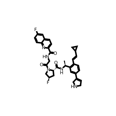 C[C@H](NC(=O)[C@@H]1C[C@@H](F)CN1C(=O)CNC(=O)c1ccc2cc(F)ccc2n1)c1cc(C2=CCNC2)ccc1/C=C/C1CC1